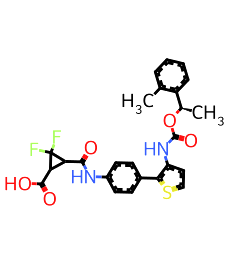 Cc1ccccc1[C@@H](C)OC(=O)Nc1ccsc1-c1ccc(NC(=O)C2C(C(=O)O)C2(F)F)cc1